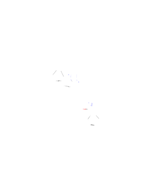 Cc1cc(N[C@H]2CC[C@@H](NC(=O)c3ccccc3F)CC2)nc2ccccc12